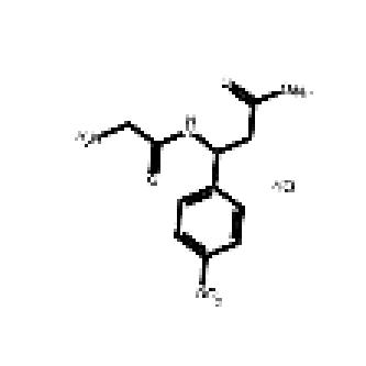 COC(=O)CC(NC(=O)CN)c1ccc([N+](=O)[O-])cc1.Cl